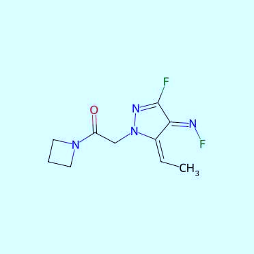 C/C=C1\C(=N/F)C(F)=NN1CC(=O)N1CCC1